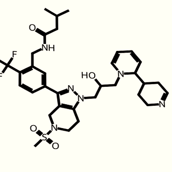 CC(C)CC(=O)NCc1cc(-c2nn(CC(O)CN3C=CC=CC3C3CC=NCC3)c3c2CN(S(C)(=O)=O)CC3)ccc1C(F)(F)F